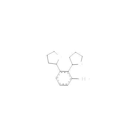 O=Cc1cccc(C2CCCO2)c1C1CCCO1